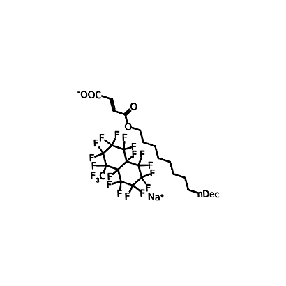 CCCCCCCCCCCCCCCCCCOC(=O)C=CC(=O)[O-].FC(F)(F)C1(F)C(F)(F)C(F)(F)C(F)(F)C2(F)C(F)(F)C(F)(F)C(F)(F)C(F)(F)C12F.[Na+]